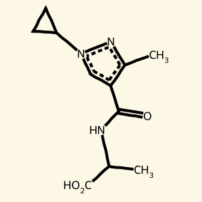 Cc1nn(C2CC2)cc1C(=O)NC(C)C(=O)O